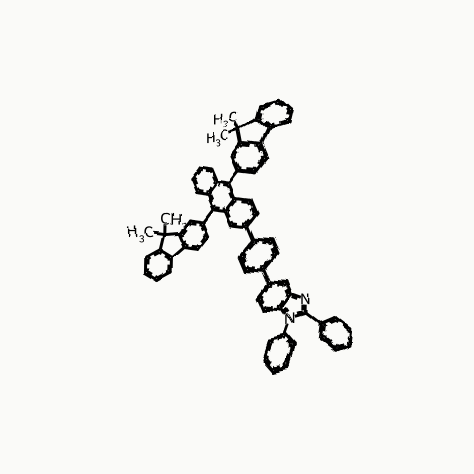 CC1(C)c2ccccc2-c2ccc(-c3c4ccccc4c(-c4ccc5c(c4)C(C)(C)c4ccccc4-5)c4cc(-c5ccc(-c6ccc7c(c6)nc(-c6ccccc6)n7-c6ccccc6)cc5)ccc34)cc21